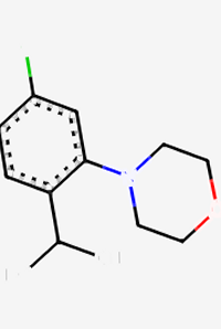 CC(C)c1ccc(Cl)cc1N1CCOCC1